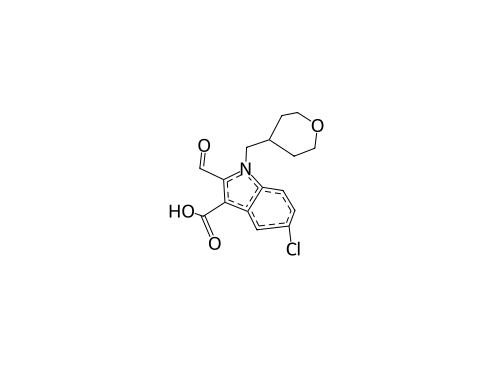 O=Cc1c(C(=O)O)c2cc(Cl)ccc2n1CC1CCOCC1